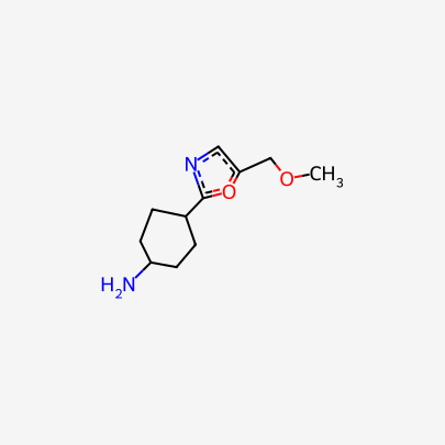 COCc1cnc(C2CCC(N)CC2)o1